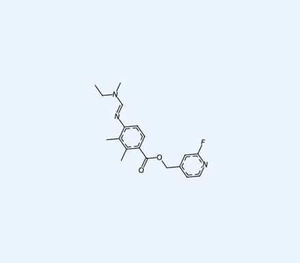 CCN(C)/C=N/c1ccc(C(=O)OCc2ccnc(F)c2)c(C)c1C